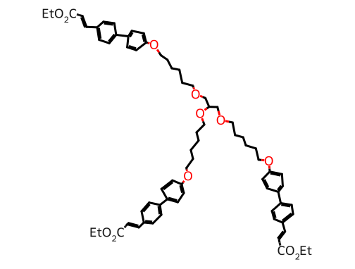 CCOC(=O)C=Cc1ccc(-c2ccc(OCCCCCCOCC(COCCCCCCOc3ccc(-c4ccc(C=CC(=O)OCC)cc4)cc3)OCCCCCCOc3ccc(-c4ccc(C=CC(=O)OCC)cc4)cc3)cc2)cc1